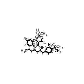 CCCCCC(Cc1ccc(C(C)(C)C)cc1)NC(Nc1ccc(F)cc1)=C1C(=O)OC(C)(C)OC1=O